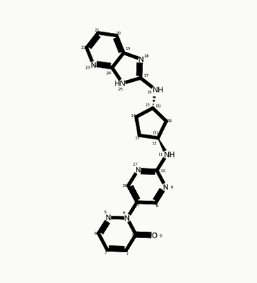 O=c1cccnn1-c1cnc(N[C@H]2CC[C@H](Nc3nc4cccnc4[nH]3)C2)nc1